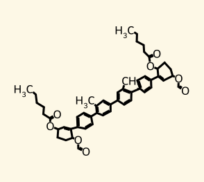 CCCCCC(=O)OC1C=C(c2ccc(-c3ccc(-c4ccc(-c5ccc(C6=CC(OC=O)CCC6OC(=O)CCCCC)cc5)c(C)c4)cc3C)cc2)C(OC=O)CC1